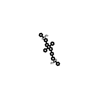 CC(C)n1c(-c2ccccc2)nc2cc(-c3ccc(-c4ccc5c(-c6ccccc6)c6cc(-c7ccc8c(c7)nc(-c7ccccc7)n8C(C)C)ccc6c(-c6ccccc6)c5c4)cc3)ccc21